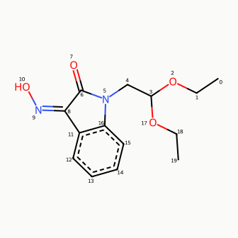 CCOC(CN1C(=O)C(=NO)c2ccccc21)OCC